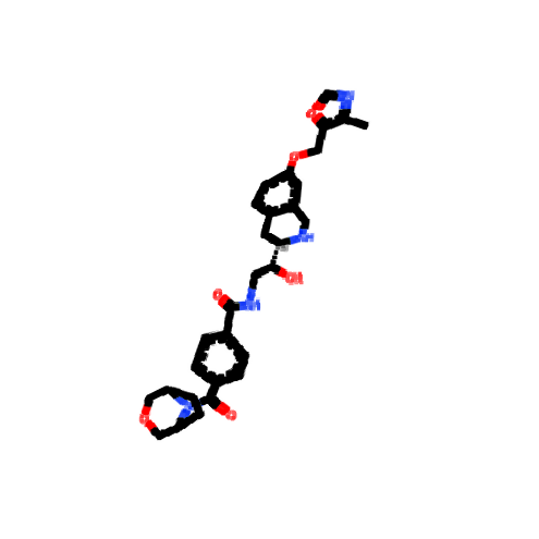 Cc1ncoc1COc1ccc2c(c1)CN[C@H](C(O)CNC(=O)c1ccc(C(=O)N3C4CCC3COC4)cc1)C2